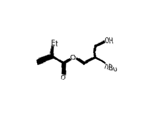 C=C(CC)C(=O)OCC(CO)CCCC